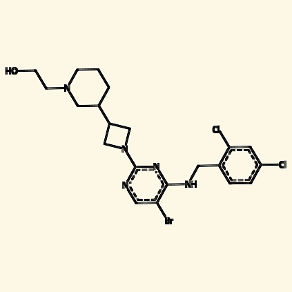 OCCN1CCCC(C2CN(c3ncc(Br)c(NCc4ccc(Cl)cc4Cl)n3)C2)C1